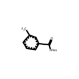 [CH2]CCCCCC(=O)c1cccc(C(F)(F)F)c1